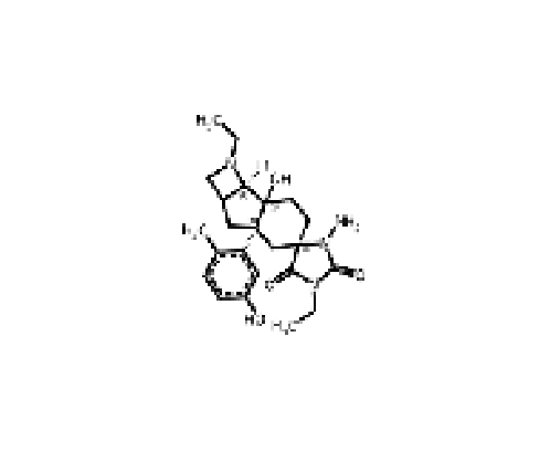 CCN1C(=O)N(N)[C@]2(CC[C@@]3(O)[C@H]4C(CN4CC)C[C@]3(c3cc(O)ccc3C)C2)C1=O